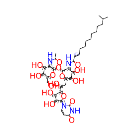 CC(=O)N[C@@H]1[C@H](O[C@@H]2O[C@H](C[C@@H](O)[C@H]3O[C@@H](n4ccc(=O)[nH]c4=O)[C@H](O)[C@@H]3O)[C@H](O)[C@H](O)[C@H]2NC(=O)/C=C/CCCCCCCCC(C)C)O[C@@H](CO)[C@H](O)[C@H]1O